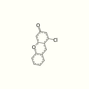 O=c1cc2oc3ccccc3cc-2c(Cl)c1